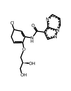 O=C(NC1=CC(Cl)CC=C1OC[C@@H](O)CO)c1cnn2cccnc12